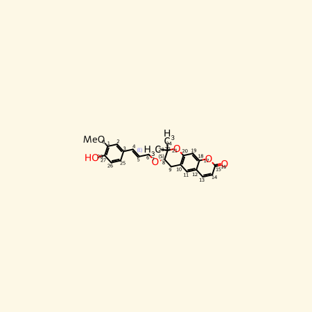 COc1cc(/C=C/CO[C@H]2Cc3cc4ccc(=O)oc4cc3OC2(C)C)ccc1O